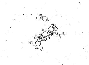 C=C(C)[C@@H]1CC[C@]2(NCCN3CCS(O)(O)CC3)CC[C@]3(C)[C@H](CC[C@@H]4[C@@]5(C)CC=C(C6=CC[C@@](CO)(C(=O)O)CC6)C(C)(C)[C@@H]5CC[C@]43C)[C@@H]12